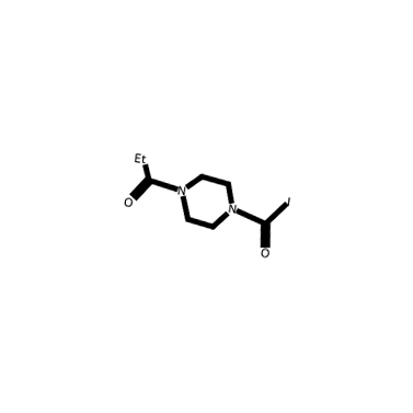 CCC(=O)N1CCN(C(=O)I)CC1